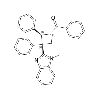 Cn1c([C@]2(c3ccccc3)C[C@@H](C(=O)c3ccccc3)[C@@H]2c2ccccc2)nc2ccccc21